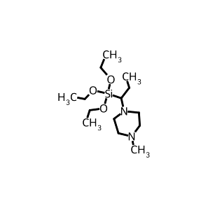 CCO[Si](OCC)(OCC)C(CC)N1CCN(C)CC1